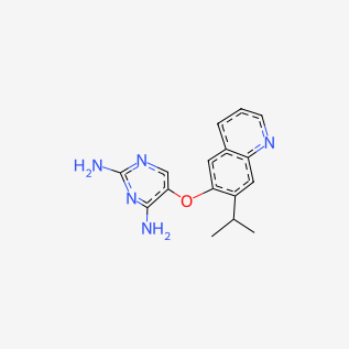 CC(C)c1cc2ncccc2cc1Oc1cnc(N)nc1N